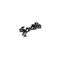 c1ccc(-c2nc(-c3ccc(-c4ccc5c6c(ccc5c4)-c4cc5ccccc5cc4C64c5ccccc5-c5ccccc54)cc3)cc(-c3cccc4ccccc34)n2)cc1